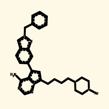 CC(=O)N1CCN(CCCCc2cc(-c3ccc4cn(Cc5ccccc5)nc4c3)c3c(N)ncnn23)CC1